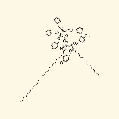 CCCCCCCCCCCCCCCCCCCCCCCCc1cn([C@@H](CO[C@H]2OC(COCc3ccccc3)[C@H](OCc3ccccc3)[C@H](OCc3ccccc3)[C@H]2OCc2ccccc2)[C@H](OCc2ccc(OC)cc2)[C@@H](CCCCCCCCCCCCCC)OCc2ccc(OC)cc2)nn1